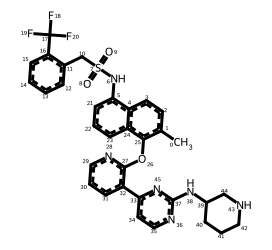 Cc1ccc2c(NS(=O)(=O)Cc3ccccc3C(F)(F)F)cccc2c1Oc1ncccc1-c1ccnc(NC2CCCNC2)n1